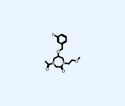 COCCN1CC(OCc2cccc(F)c2)CN(C(C)=O)CC1=O